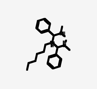 CCCCC[CH2][SnH]([CH](c1ccccc1)[SiH](C)C)[CH](c1ccccc1)[SiH](C)C